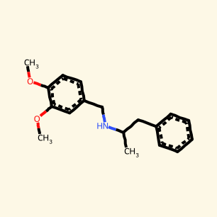 COc1ccc(CNC(C)Cc2ccccc2)cc1OC